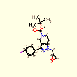 CC(C)(C)OC(=O)N1CCc2c(c(-c3ccc(I)cc3)nn2CC2CO2)C1